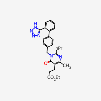 CCCc1nc(C)c(CCC(=O)OCC)c(=O)n1Cc1ccc(-c2ccccc2-c2nnn[nH]2)cc1